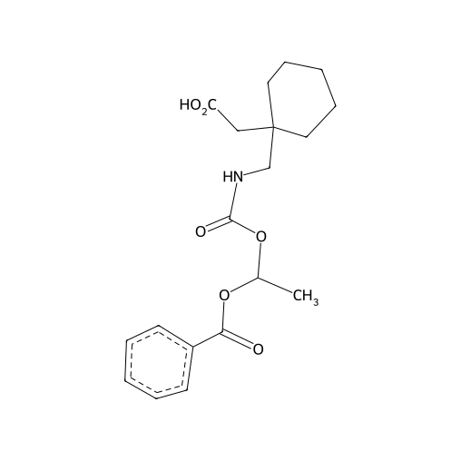 CC(OC(=O)NCC1(CC(=O)O)CCCCC1)OC(=O)c1ccccc1